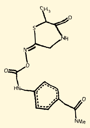 CNC(=O)c1ccc(NC(=O)ON=C2CNC(=O)C(C)S2)cc1